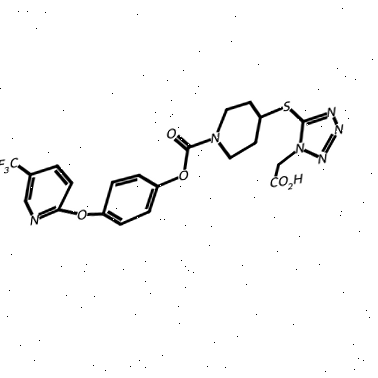 O=C(O)Cn1nnnc1SC1CCN(C(=O)Oc2ccc(Oc3ccc(C(F)(F)F)cn3)cc2)CC1